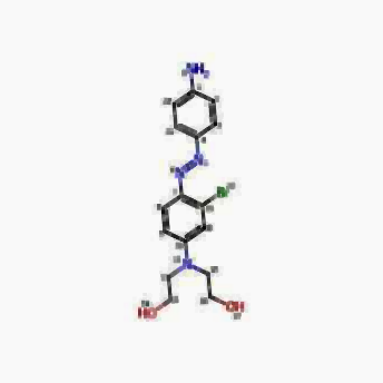 Nc1ccc(N=Nc2ccc(N(CCO)CCO)cc2Br)cc1